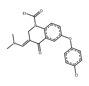 CCC(=O)N1CC(=CN(C)C)C(=O)c2cc(Oc3ccc(Cl)cc3)ccc21